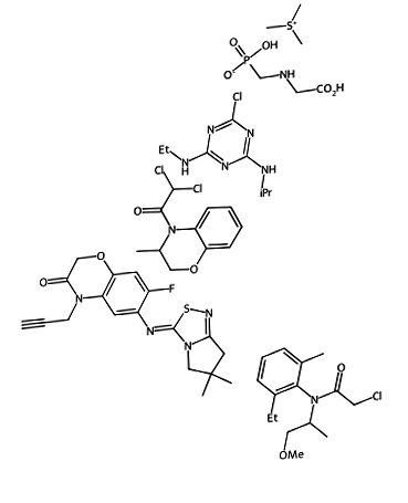 C#CCN1C(=O)COc2cc(F)c(/N=c3\snc4n3CC(C)(C)C4)cc21.CC1COc2ccccc2N1C(=O)C(Cl)Cl.CCNc1nc(Cl)nc(NC(C)C)n1.CCc1cccc(C)c1N(C(=O)CCl)C(C)COC.C[S+](C)C.O=C(O)CNCP(=O)([O-])O